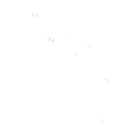 Cc1ccccc1-c1ccnc2cc(N(C)CC(=O)NCC(N)=O)ccc12